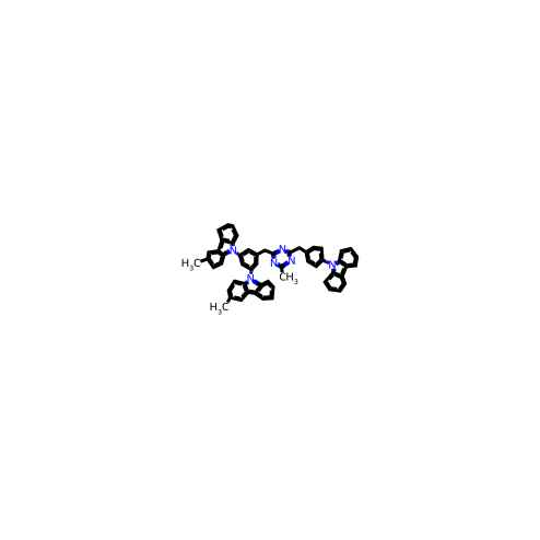 Cc1ccc2c(c1)c1ccccc1n2-c1cc(Cc2nc(C)nc(Cc3ccc(-n4c5ccccc5c5ccccc54)cc3)n2)cc(-n2c3ccccc3c3cc(C)ccc32)c1